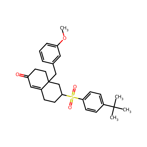 COc1cccc(CC23CCC(=O)C=C2CCC(S(=O)(=O)c2ccc(C(C)(C)C)cc2)C3)c1